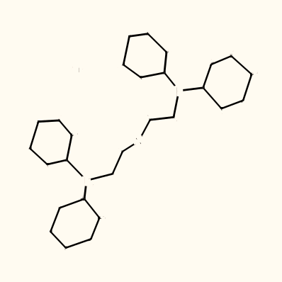 C1CCC(P(CCNCCP(C2CCCCC2)C2CCCCC2)C2CCCCC2)CC1.[Ru+2]